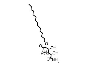 CCCCCCCCCCCCCCCO[C@@H](C(N)=O)[C@@H](O)[C@H](O)[C@H](O)C(N)=O